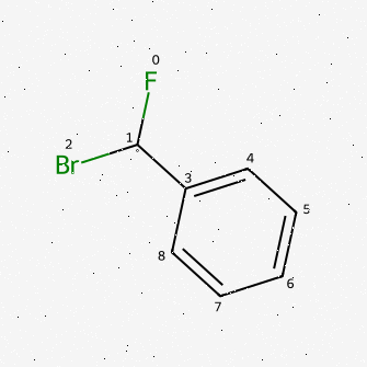 F[C](Br)c1ccccc1